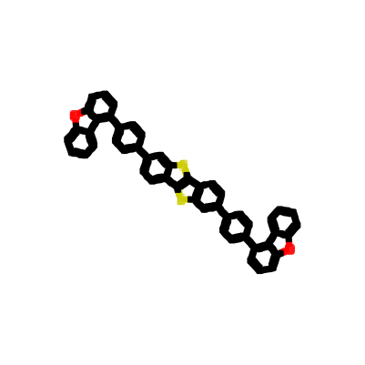 c1ccc2c(c1)oc1cccc(-c3ccc(-c4ccc5c(c4)sc4c6ccc(-c7ccc(-c8cccc9oc%10ccccc%10c89)cc7)cc6sc54)cc3)c12